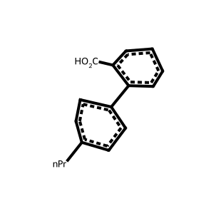 CCCc1ccc(-c2ccccc2C(=O)O)cc1